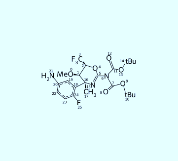 CO[C@H]1[C@@H](C(F)(F)F)OC(N(C(=O)OC(C)(C)C)C(=O)OC(C)(C)C)=N[C@]1(C)c1cc(N)ccc1F